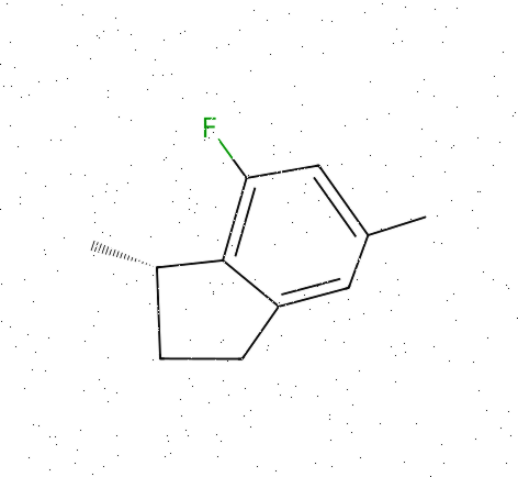 Cc1cc(F)c2c(c1)CC[C@@H]2C